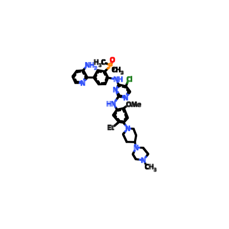 CCc1cc(Nc2ncc(Cl)c(Nc3ccc(-c4ncccc4N)cc3P(C)(C)=O)n2)c(OC)cc1N1CCC(N2CCN(C)CC2)CC1